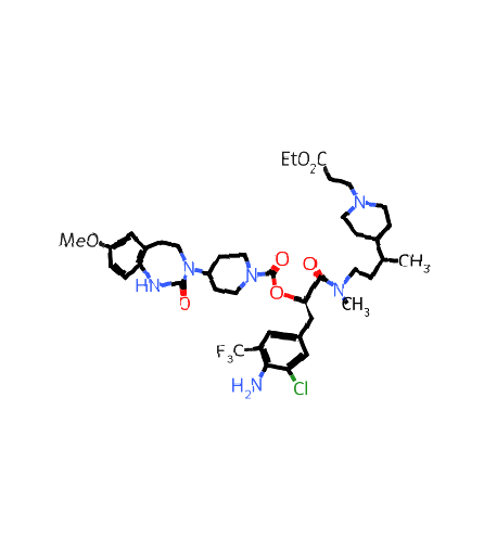 CCOC(=O)CCN1CCC(C(C)CCN(C)C(=O)[C@@H](Cc2cc(Cl)c(N)c(C(F)(F)F)c2)OC(=O)N2CCC(N3CCc4cc(OC)ccc4NC3=O)CC2)CC1